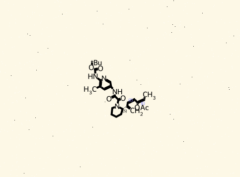 C=C(/C=C\C(=C/C)OC(C)=O)[C@@H]1CCCCN1C(=O)C(=O)Nc1cnc(NC(=O)OC(C)(C)C)c(C)c1